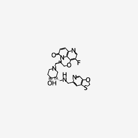 O=c1ccc2ncc(F)c3c2n1[C@H](CN1CC[C@@H](O)[C@@H](CNCc2cc4c(cn2)OCS4)C1)CO3